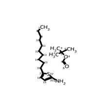 CC(C)(C)OC=O.CCCCCCCCCCc1ccc(N)s1